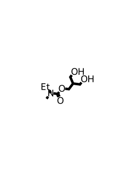 CCN(C)C(=O)OCC(CO)CO